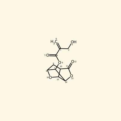 C=C(CO)C(=O)OC1C2CC3C(=O)OC1C3O2